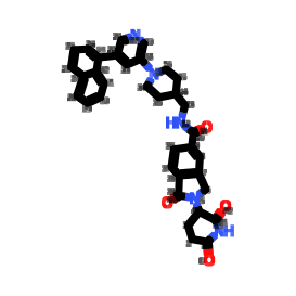 O=C1CCC(N2Cc3cc(C(=O)NCC4CCN(c5cncc(-c6cccc7ccccc67)c5)CC4)ccc3C2=O)C(=O)N1